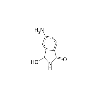 Nc1ccc2c(c1)C(O)NC2=O